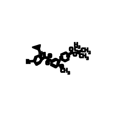 COc1ccc(S(=O)(=O)c2cn(C3CC3)c3cc(Br)ccc23)cc1N1CCN(C(=O)OC(C)(C)C)CC1